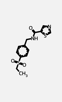 CCS(=O)(=O)c1ccc(CNC(=O)c2cncs2)cc1